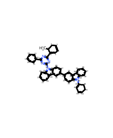 CC1CC=CC=C1c1nc(-c2ccccc2)nc(-n2c3ccccc3c3cc(-c4ccc5c(c4)c4ccccc4n5C4=CC=CCC4)ccc32)n1